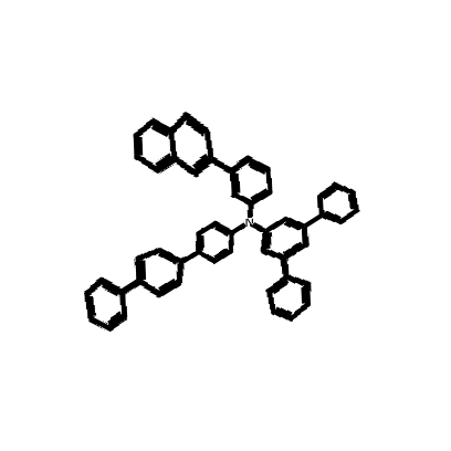 c1ccc(-c2ccc(-c3ccc(N(c4cccc(-c5ccc6ccccc6c5)c4)c4cc(-c5ccccc5)cc(-c5ccccc5)c4)cc3)cc2)cc1